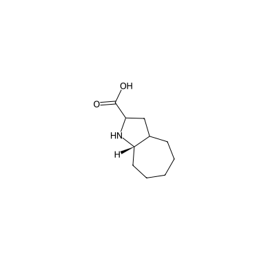 O=C(O)C1CC2CCCCC[C@@H]2N1